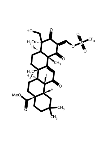 COC(=O)[C@]12CCC(C)(C)C[C@H]1[C@H]1C(=O)C=C3[C@@]4(C)C(=O)/C(=C\OS(=O)(=O)C(F)(F)F)C(=O)[C@](C)(CO)[C@@H]4CC[C@@]3(C)[C@]1(C)CC2